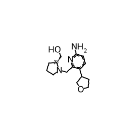 Nc1ccc(C2CCOC2)c(CN2CCC[C@H]2CO)n1